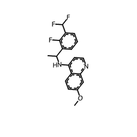 COc1ccc2c(NC(C)c3cccc(C(F)F)c3F)ccnc2c1